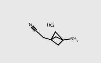 Cl.N#CCC12CC(N)(C1)C2